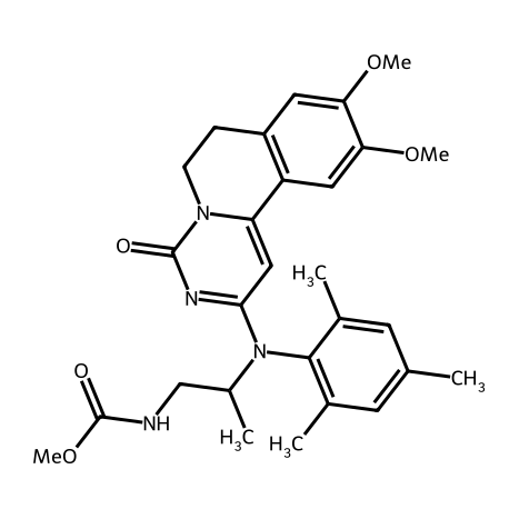 COC(=O)NCC(C)N(c1cc2n(c(=O)n1)CCc1cc(OC)c(OC)cc1-2)c1c(C)cc(C)cc1C